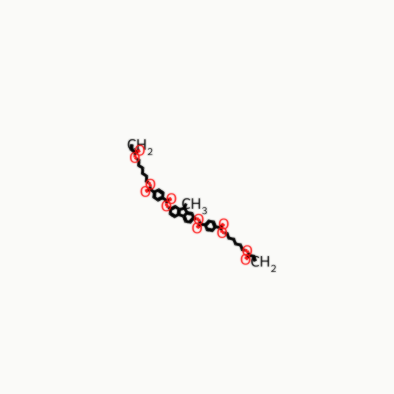 C=CC(=O)OCCCCCCOC(=O)c1ccc(C(=O)Oc2ccc3c(c2)C(C)c2cc(OC(=O)c4ccc(C(=O)OCCCCCCOC(=O)C=C)cc4)ccc2-3)cc1